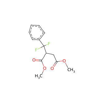 COC(=O)CC(C(=O)OC)C(F)(F)c1ccccc1